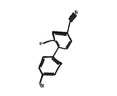 N#Cc1ccc(-c2ccc(Br)cc2)c(F)c1